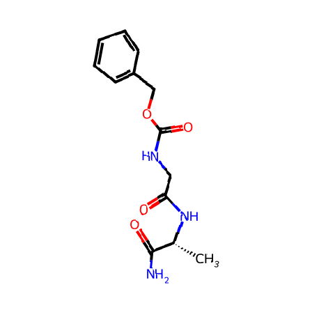 C[C@@H](NC(=O)CNC(=O)OCc1ccccc1)C(N)=O